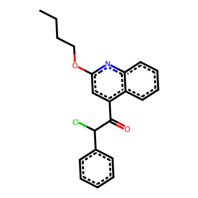 CCCCOc1cc(C(=O)C(Cl)c2ccccc2)c2ccccc2n1